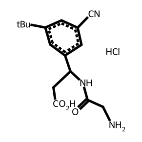 CC(C)(C)c1cc(C#N)cc(C(CC(=O)O)NC(=O)CN)c1.Cl